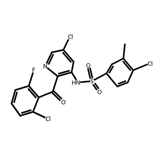 Cc1cc(S(=O)(=O)Nc2cc(Cl)cnc2C(=O)c2c(F)cccc2Cl)ccc1Cl